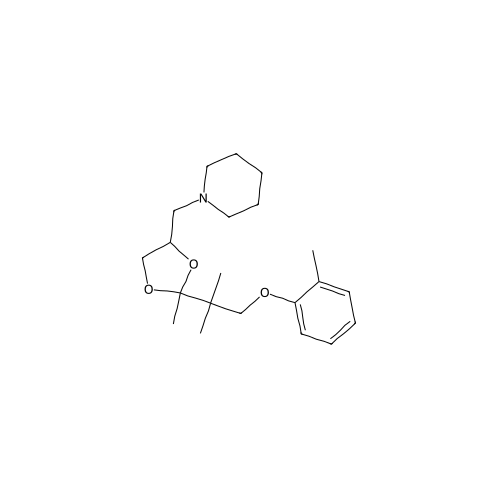 Cc1ccccc1OCC(C)(C)C1(C)OCC(CN2CCCCC2)O1